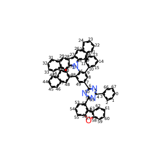 c1ccc(-c2nc(-c3cc(-c4ccccc4)c(-n4c5cc6ccccc6cc5c5cc6ccccc6cc54)c(-c4ccc5ccccc5c4)c3)nc(-c3cccc4oc5ccccc5c34)n2)cc1